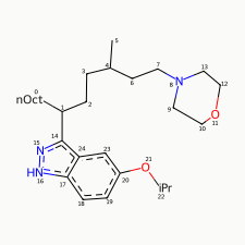 CCCCCCCCC(CCC(C)CCN1CCOCC1)c1n[nH]c2ccc(OC(C)C)cc12